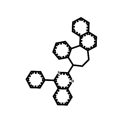 c1ccc(-c2nc(C3CCc4ccc5ccccc5c4-c4ccccc43)nc3ccccc23)cc1